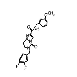 COc1cccc(CNC(=O)c2cn3c(n2)CCN(Cc2ccc(F)c(F)c2)C3=O)c1